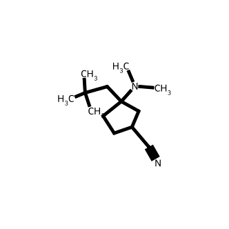 CN(C)C1(CC(C)(C)C)CCC(C#N)C1